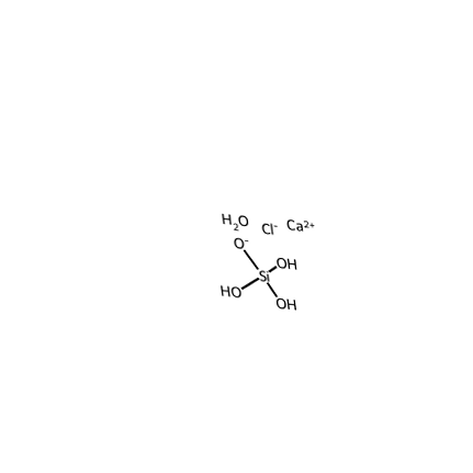 O.[Ca+2].[Cl-].[O-][Si](O)(O)O